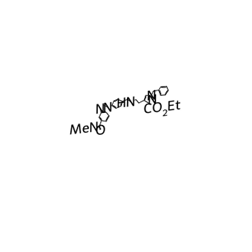 CCOC(=O)c1nn(Cc2ccccc2)cc1CCNCc1ccc(-n2cnc3cc(C(=O)NC)ccc32)cc1